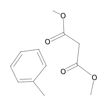 COC(=O)CC(=O)OC.Cc1ccccc1